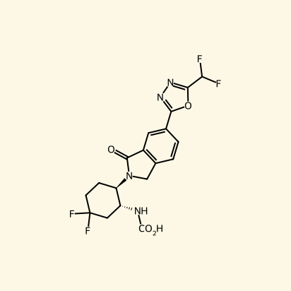 O=C(O)N[C@@H]1CC(F)(F)CC[C@H]1N1Cc2ccc(-c3nnc(C(F)F)o3)cc2C1=O